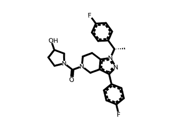 C[C@@H](c1ccc(F)cc1)n1nc(-c2ccc(F)cc2)c2c1CCN(C(=O)N1CCC(O)C1)C2